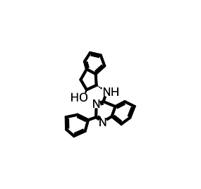 O[C@@H]1Cc2ccccc2[C@@H]1Nc1nc(-c2ccccc2)nc2ccccc12